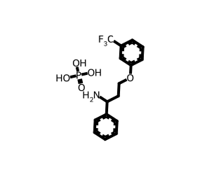 NC(CCOc1cccc(C(F)(F)F)c1)c1ccccc1.O=P(O)(O)O